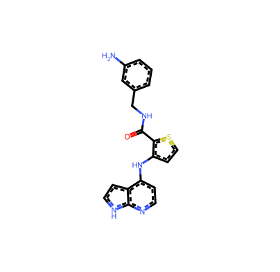 Nc1cccc(CNC(=O)c2sccc2Nc2ccnc3[nH]ccc23)c1